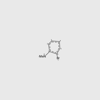 C[N]c1ccccc1Br